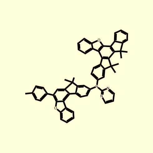 Cc1ccc(-c2cc3c(c4c2oc2ccccc24)-c2ccc(N(c4ccc5c(c4)C(C)(C)c4c6c(c7oc8ccccc8c7c4-5)-c4ccccc4C6(C)C)c4ncccn4)cc2C3(C)C)cc1